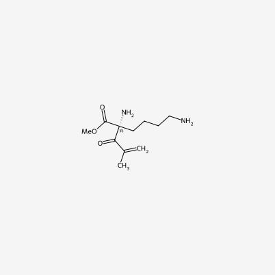 C=C(C)C(=O)[C@](N)(CCCCN)C(=O)OC